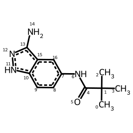 CC(C)(C)C(=O)Nc1ccc2[nH]nc(N)c2c1